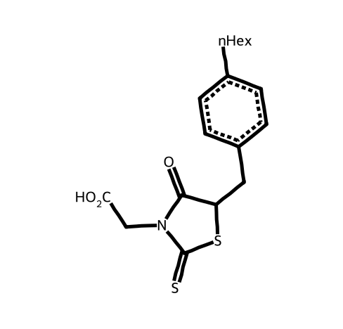 CCCCCCc1ccc(CC2SC(=S)N(CC(=O)O)C2=O)cc1